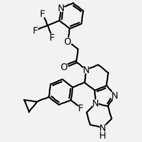 O=C(COc1cccnc1C(F)(F)F)N1CCc2nc3n(c2C1c1ccc(C2CC2)cc1F)CCNC3